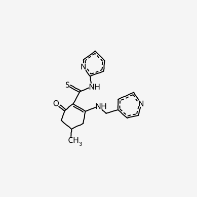 CC1CC(=O)C(C(=S)Nc2ccccn2)=C(NCc2ccncc2)C1